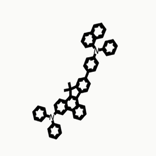 CC1(C)c2cc(-c3ccc(N(c4ccccc4)c4cccc5ccccc45)cc3)ccc2-c2c1c1ccc(N(c3ccccc3)c3ccccc3)cc1c1ccccc21